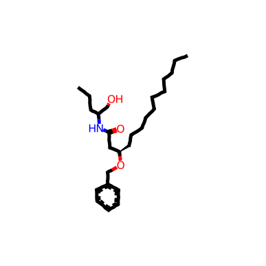 CCCCCCCCCCC[C@H](CC(=O)NC(CO)CCC)OCc1ccccc1